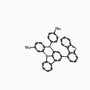 CC(C)(C)c1ccc(N2c3ccc(C(C)(C)C)cc3B3c4ccccc4-c4cc(-c5cccc6sc7ccccc7c56)cc2c43)cc1